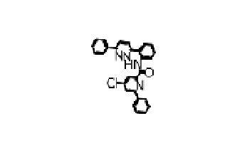 O=C(Nc1ccccc1-c1ccc(-c2ccccc2)nn1)c1cc(Cl)cc(-c2ccccc2)n1